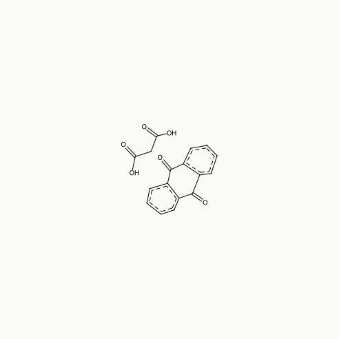 O=C(O)CC(=O)O.O=C1c2ccccc2C(=O)c2ccccc21